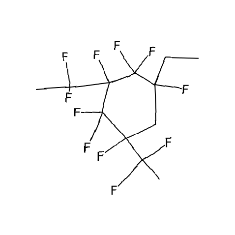 CCC1(F)CC(F)(C(C)(F)F)C(F)(F)C(F)(C(C)(F)F)C1(F)F